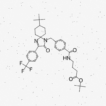 CC(C)(C)OC(=O)CCCNC(=O)c1ccc(CN2C(=O)C(c3ccc(C(F)(F)F)cc3)=NC23CCC(C(C)(C)C)CC3)cc1